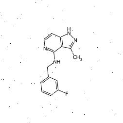 Cc1n[nH]c2ccnc(NCc3cccc(F)c3)c12